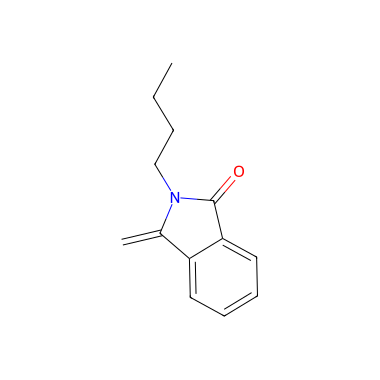 C=C1c2ccccc2C(=O)N1CCCC